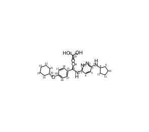 O=C(Nc1ccc(NC2CCCC2)nn1)c1ccc(OC2CCCCC2)cc1.O=C(O)O